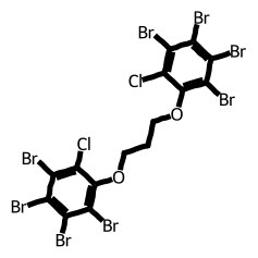 Clc1c(Br)c(Br)c(Br)c(Br)c1OCCCOc1c(Cl)c(Br)c(Br)c(Br)c1Br